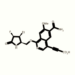 CC[C@@H]1[C@H](F)C(=O)N[C@@H]1COc1ncc(C#CC(=O)O)c2cc(C(N)=O)c(OC)cc12